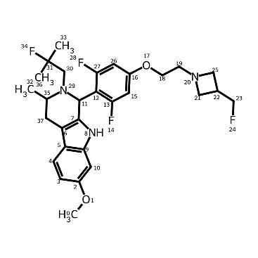 COc1ccc2c3c([nH]c2c1)C(c1c(F)cc(OCCN2CC(CF)C2)cc1F)N(CC(C)(C)F)C(C)C3